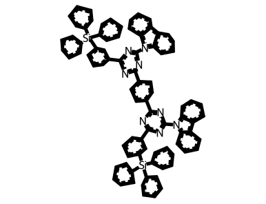 c1ccc([Si](c2ccccc2)(c2ccccc2)c2cccc(-c3nc(-c4ccc(-c5nc(-c6cccc([Si](c7ccccc7)(c7ccccc7)c7ccccc7)c6)nc(-n6c7ccccc7c7ccccc76)n5)cc4)nc(-n4c5ccccc5c5ccccc54)n3)c2)cc1